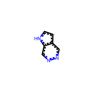 [c]1c[nH]c2cnncc12